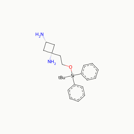 CC(C)(C)[Si](OCC[C@]1(N)C[C@@H](N)C1)(c1ccccc1)c1ccccc1